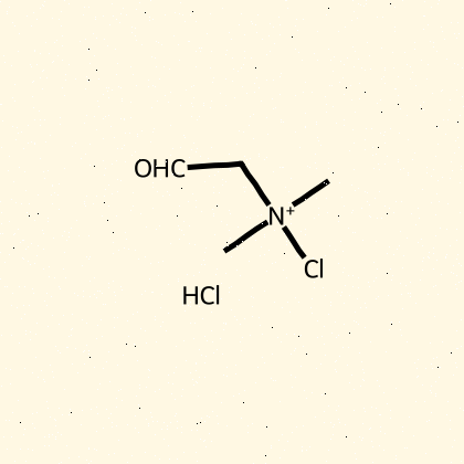 C[N+](C)(Cl)CC=O.Cl